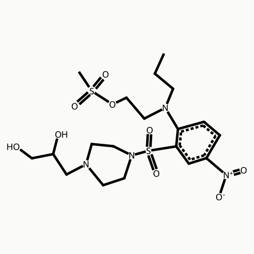 CCCN(CCOS(C)(=O)=O)c1ccc([N+](=O)[O-])cc1S(=O)(=O)N1CCN(CC(O)CO)CC1